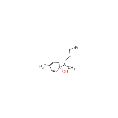 CC1=CCC(O)(C(C)CCCC(C)C)C=C1